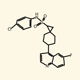 O=S(=O)(Nc1ccc(Cl)cc1)C1CC12CCC(c1ccnc3ccc(F)cc13)CC2